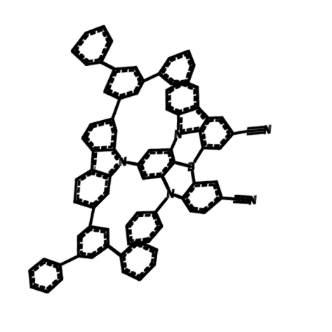 N#Cc1ccc2c(c1)B1c3c(cc(-n4c5cc(-c6cc(-c7ccccc7)cc(-c7ccccc7)c6)ccc5c5ccc(-c6cc(-c7ccccc7)cc(-c7ccccc7)c6)cc54)cc3-n3c4ccccc4c4cc(C#N)cc1c43)N2c1ccccc1